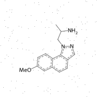 COc1ccc2c(ccc3cnn(CC(C)N)c32)c1